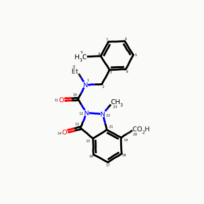 CCN(Cc1ccccc1C)C(=O)n1c(=O)c2cccc(C(=O)O)c2n1C